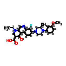 CCn1cc(C(=O)O)c(=O)c2c3ccc(N4CCN(c5cccc(OC)c5)C(C)C4)c(F)c3ncc21